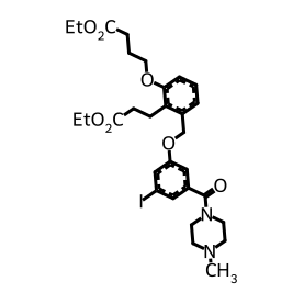 CCOC(=O)CCCOc1cccc(COc2cc(I)cc(C(=O)N3CCN(C)CC3)c2)c1CCC(=O)OCC